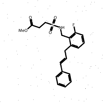 COC(=O)CCS(=O)(=O)NCc1c(F)cccc1CC=Cc1ccccc1